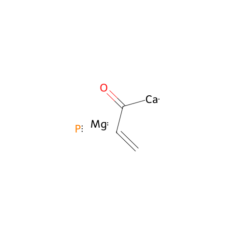 C=C[C](=O)[Ca].[Mg].[P]